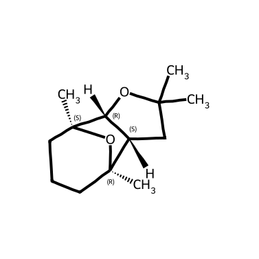 CC1(C)C[C@H]2[C@@H](O1)[C@]1(C)CCC[C@@]2(C)O1